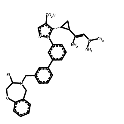 CCC1COc2ccccc2CN1Cc1cccc(-c2cccc(-n3ncc(C(=O)O)c3[C@@H]3CC3/C(N)=C/N(C)N)c2)c1